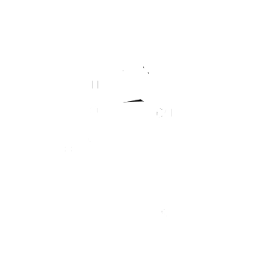 CC[C@]12OC(=O)C=C1C(C#Cc1cccs1)=CCN1CCCC[C@@H]12